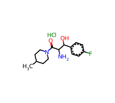 CC1CCN(C(=O)C(N)C(O)c2ccc(F)cc2)CC1.Cl